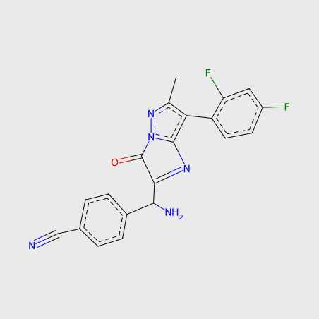 Cc1nn2c(c1-c1ccc(F)cc1F)N=C(C(N)c1ccc(C#N)cc1)C2=O